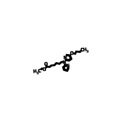 CCCCOc1ccc(N(CCCCCCC(=O)OCC)c2ccccn2)nc1